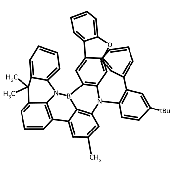 Cc1cc2c3c(c1)N(c1ccc(C(C)(C)C)cc1-c1ccccc1)c1cc4oc5ccccc5c4cc1B3N1c3ccccc3C(C)(C)c3cccc-2c31